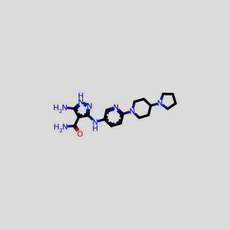 NC(=O)c1c(Nc2ccc(N3CCC(N4CCCC4)CC3)nc2)n[nH]c1N